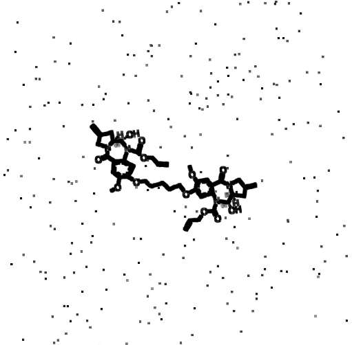 C=CCOC(=O)N1c2cc(OCCCCCOc3cc4c(cc3OC)C(=O)N3CC(=C)C[C@H]3[C@H](O)N4C(=O)OCC=C)c(OC)cc2C(=O)N2CC(=C)C[C@H]2[C@@H]1O